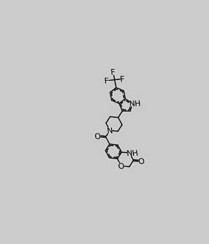 O=C1COc2ccc(C(=O)N3CCC(c4c[nH]c5cc(C(F)(F)F)ccc45)CC3)cc2N1